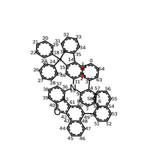 c1ccc(-c2ccccc2N(c2ccc3c(c2)C(c2ccccc2)(c2ccccc2)c2ccccc2-3)c2cccc3oc4c5ccccc5c(-c5cccc6ccccc56)cc4c23)cc1